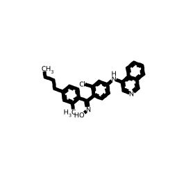 CCCCc1ccc(C(=NO)c2ccc(Nc3cncc4ccccc34)cc2Cl)c(C)c1